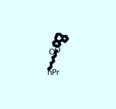 CCC/C=C/C=C/C=C/C(=O)Oc1ccc2cccc3cccc-3c2c1